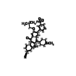 CC(C)COc1cc2c(=O)c3c4ccc(C#N)cc4[nH]c3n(C3CCN(C)CC3)c2cc1-c1cncc(S(=O)(=O)F)c1